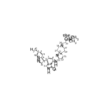 Cc1ccc2c(-c3ccc(Nc4ccc5c(n4)CCN(CCO[Si](C)(C)C(C)(C)C)CC5)c4c3CNC4=O)cnn2c1